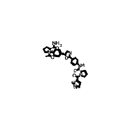 CC(=O)[N+]1(c2ccc(-c3cnc(-c4ccc(NC(=O)[C@@H]5C=CCN5C(=O)c5ccno5)cc4)o3)cc2)CCC[C@H]1C(N)=O